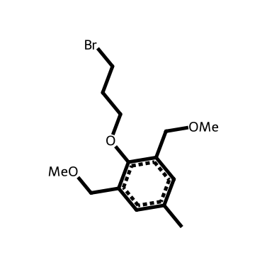 COCc1cc(C)cc(COC)c1OCCCBr